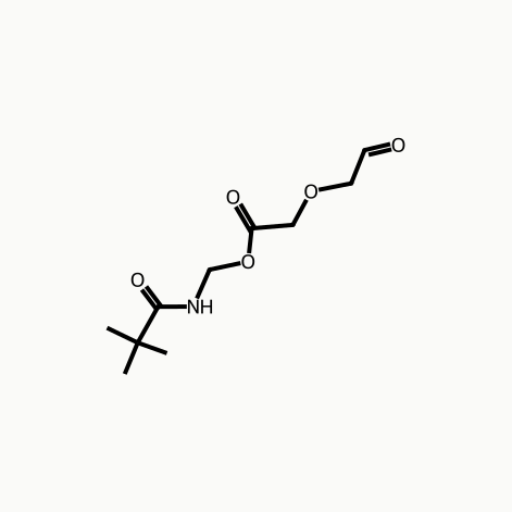 CC(C)(C)C(=O)NCOC(=O)COCC=O